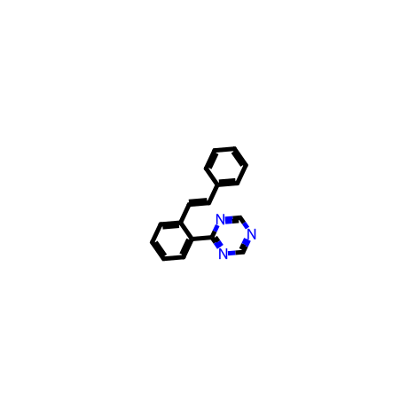 C(=Cc1ccccc1-c1ncncn1)c1ccccc1